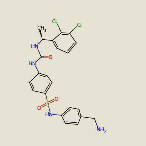 C[C@H](NC(=O)Nc1ccc(S(=O)(=O)Nc2ccc(CN)cc2)cc1)c1cccc(Cl)c1Cl